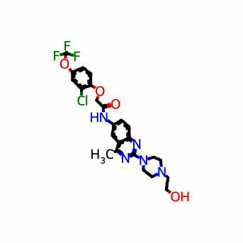 Cc1nc(N2CCN(CCO)CC2)nc2ccc(NC(=O)COc3ccc(OC(F)(F)F)cc3Cl)cc12